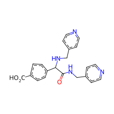 O=C(O)c1ccc(C(NCc2ccncc2)C(=O)NCc2ccncc2)cc1